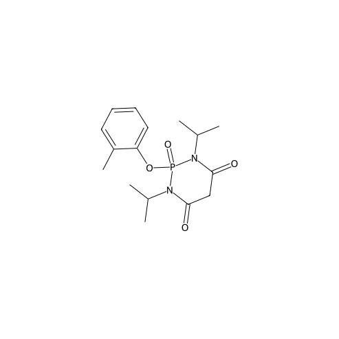 Cc1ccccc1OP1(=O)N(C(C)C)C(=O)CC(=O)N1C(C)C